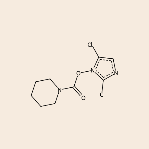 O=C(On1c(Cl)cnc1Cl)N1CCCCC1